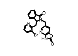 O=C1c2ccccc2C(Cc2ncccc2Br)N1Cc1cnc2[nH]c(=O)oc2c1